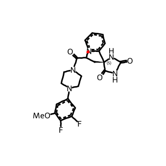 COc1cc(N2CCN(C(=O)C(C)C[C@@]3(c4ccccn4)NC(=O)NC3=O)CC2)cc(F)c1F